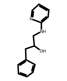 OC(CNc1ccccn1)Cc1ccccc1